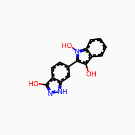 Oc1n[nH]c2cc(-c3c(O)c4ccccc4n3O)ccc12